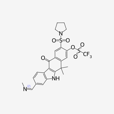 C/N=C\c1ccc2c3c([nH]c2c1)C(C)(C)c1cc(OS(=O)(=O)C(F)(F)F)c(S(=O)(=O)N2CCCC2)cc1C3=O